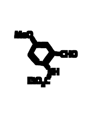 CCOC(=O)Nc1ccc(OC)cc1C=O